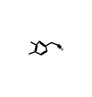 Cc1cc(CC#N)ccc1I